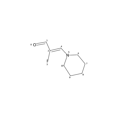 O=C/C(F)=C/N1CCCCC1